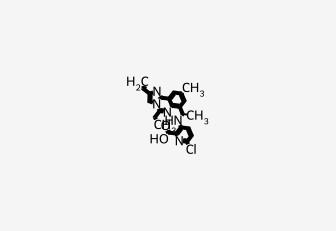 C=Cc1cn2c(CC)nc3c([C@@H](C)Nc4ccc(Cl)nc4C(=O)O)cc(C)cc3c2n1